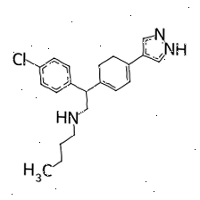 CCCCNCC(C1=CC=C(c2cn[nH]c2)CC1)c1ccc(Cl)cc1